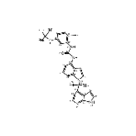 [2H]C([2H])([2H])Oc1ccc(F)c(NC(=O)Nc2cccc3c2ccn3C([2H])([2H])c2ccnc3[nH]ccc23)c1